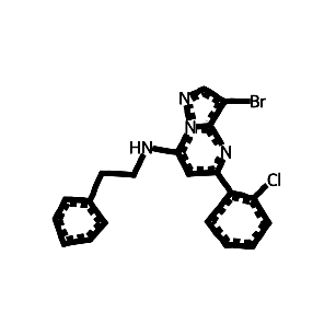 Clc1ccccc1-c1cc(NCCc2ccccc2)n2ncc(Br)c2n1